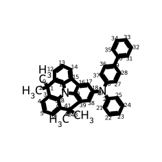 CC1(C)c2cccc3c2-n2c4c1cccc4c1cc(N(c4ccccc4)c4ccc(-c5ccccc5)cc4)cc(c12)C3(C)C